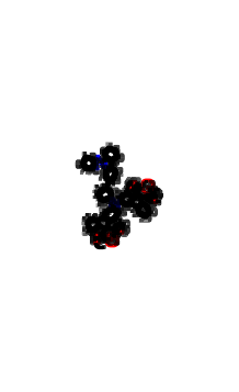 c1ccc(-n2c3ccccc3c3ccc(-c4cccc(N(c5ccc6c(c5)-c5ccccc5C65c6ccccc6Oc6ccccc65)c5ccc6c(c5)-c5ccccc5C65c6ccccc6Oc6ccccc65)c4)cc32)cc1